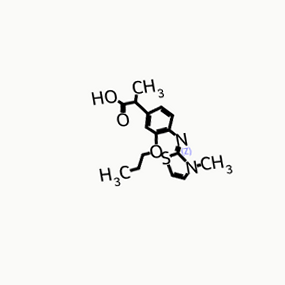 CCCOc1cc(C(C)C(=O)O)ccc1/N=c1\sccn1C